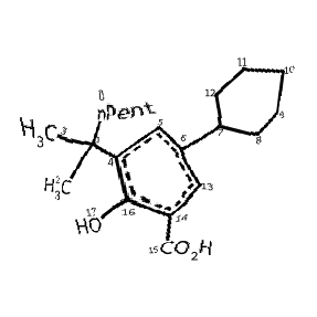 CCCCCC(C)(C)c1cc(C2CCCCC2)cc(C(=O)O)c1O